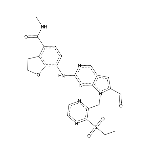 CCS(=O)(=O)c1nccnc1Cn1c(C=O)cc2cnc(Nc3ccc(C(=O)NC)c4c3OCC4)nc21